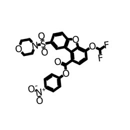 O=C(Oc1ccc([N+](=O)[O-])cc1)c1ccc(OC(F)F)c2oc3ccc(S(=O)(=O)N4CCOCC4)cc3c12